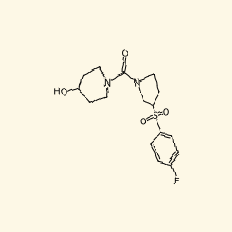 O=C(N1CCC(O)CC1)N1CCC(S(=O)(=O)c2ccc(F)cc2)C1